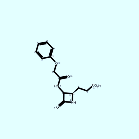 O=C(O)CC[C@H]1NC(=O)C1NC(=O)COc1ccccc1